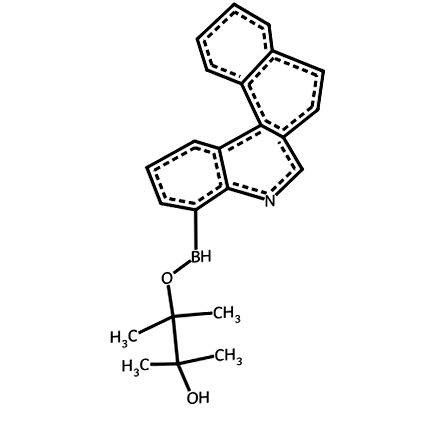 CC(C)(O)C(C)(C)OBc1cccc2c1ncc1ccc3ccccc3c12